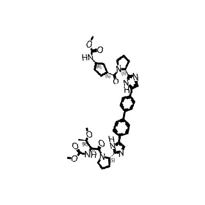 COC(=O)N[C@@H]1CC[C@H](C(=O)N2CCC[C@H]2c2ncc(-c3ccc(-c4ccc(-c5cnc([C@@H]6CCCN6C(=O)[C@@H](NC(=O)OC)[C@@H](C)OC)[nH]5)cc4)cc3)[nH]2)C1